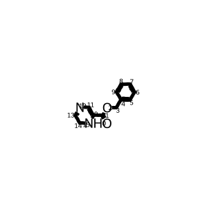 O=C(OCc1ccccc1)C1=CN=CCN1